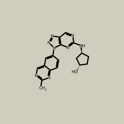 Cc1ncc2cc(-n3nnc4cnc(N[C@H]5CC[C@H](O)C5)nc43)ccc2n1